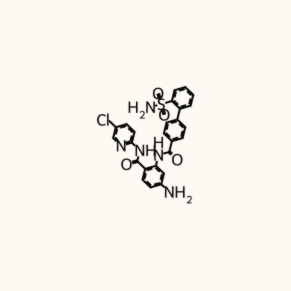 Nc1ccc(C(=O)Nc2ccc(Cl)cn2)c(NC(=O)c2ccc(-c3ccccc3S(N)(=O)=O)cc2)c1